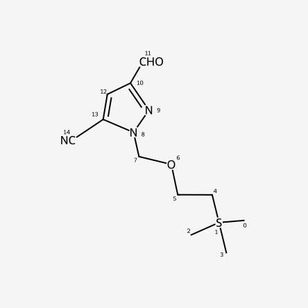 CS(C)(C)CCOCn1nc(C=O)cc1C#N